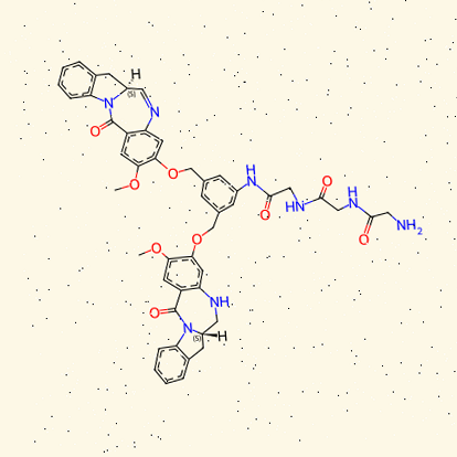 COc1cc2c(cc1OCc1cc(COc3cc4c(cc3OC)C(=O)N3c5ccccc5C[C@H]3CN4)cc(NC(=O)CNC(=O)CNC(=O)CN)c1)N=C[C@@H]1Cc3ccccc3N1C2=O